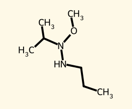 CCCNN(OC)C(C)C